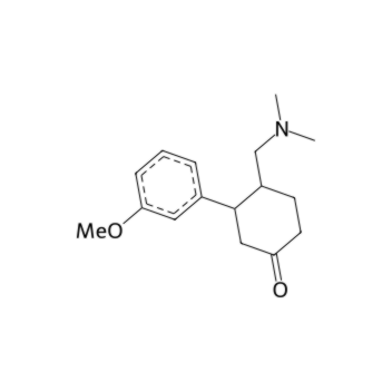 COc1cccc(C2CC(=O)CCC2CN(C)C)c1